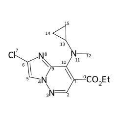 CCOC(=O)c1cnn2cc(Cl)nc2c1N(C)C1CC1